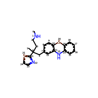 CNCCC(C)(Cc1ccc2c(c1)Nc1ccccc1S2)c1nccs1